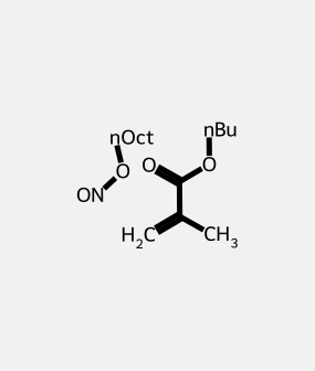 C=C(C)C(=O)OCCCC.CCCCCCCCON=O